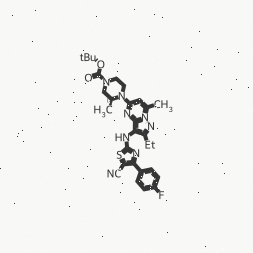 CCc1nn2c(C)cc(N3CCN(C(=O)OC(C)(C)C)C[C@@H]3C)nc2c1Nc1nc(-c2ccc(F)cc2)c(C#N)s1